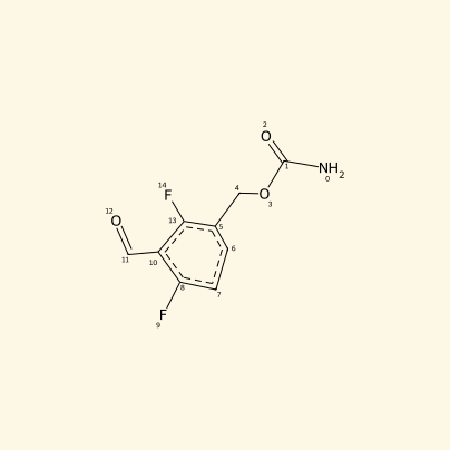 NC(=O)OCc1ccc(F)c(C=O)c1F